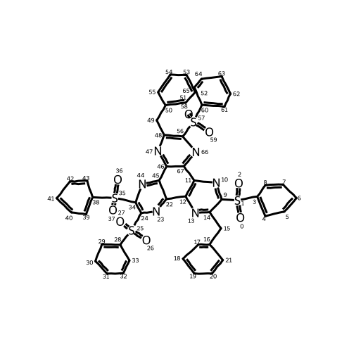 O=S(=O)(c1ccccc1)c1nc2c(nc1Cc1ccccc1)c1nc(S(=O)(=O)c3ccccc3)c(S(=O)(=O)c3ccccc3)nc1c1nc(Cc3ccccc3)c(S(=O)(=O)c3ccccc3)nc12